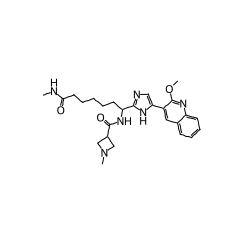 CNC(=O)CCCCCC(NC(=O)C1CN(C)C1)c1ncc(-c2cc3ccccc3nc2OC)[nH]1